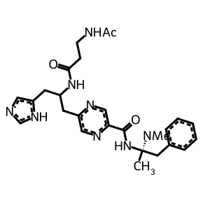 CN[C@@](C)(Cc1ccccc1)NC(=O)c1cnc(CC(Cc2cnc[nH]2)NC(=O)CCNC(C)=O)cn1